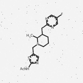 CC(=O)Nc1ncc(CN2CCCC(Cc3ncc(F)cn3)C2C)s1